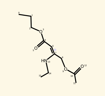 CCCOC(=O)/C=C(/COC(C)=O)NCC